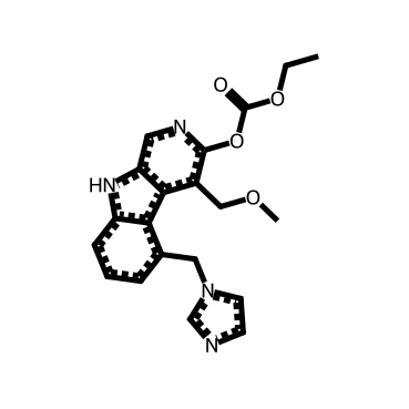 CCOC(=O)Oc1ncc2[nH]c3cccc(Cn4ccnc4)c3c2c1COC